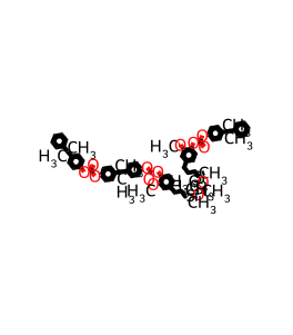 COc1cc(CCC[Si](C)(C)O[Si](C)(C)O[Si](C)(C)CCCc2ccc(OC(=O)Oc3ccc(C(C)(C)c4ccc(OC(=O)Oc5ccc(C(C)(C)c6ccccc6)cc5)cc4)cc3)c(OC)c2)ccc1OC(=O)Oc1ccc(C(C)(C)c2ccccc2)cc1